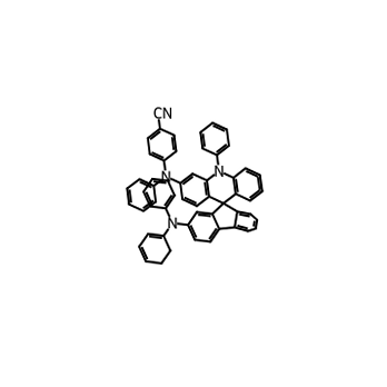 N#Cc1ccc(N(c2ccccc2)c2ccc3c(c2)N(c2ccccc2)C2=C(C=C=C=C2)C32c3ccccc3-c3ccc(N(C4=CC=CCC4)c4ccccc4)cc32)cc1